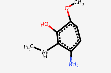 COc1ccc(N)c([AsH]C)c1O